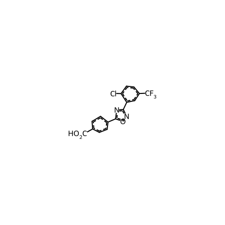 O=C(O)c1ccc(-c2nc(-c3cc(C(F)(F)F)ccc3Cl)no2)cc1